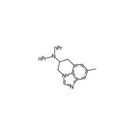 CCCN(CCC)C1Cc2cc(C)cc3ncn(c23)C1